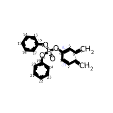 C=C/C=C\C(=C/C=C)OP(=O)(Oc1ccccc1)Oc1ccccc1